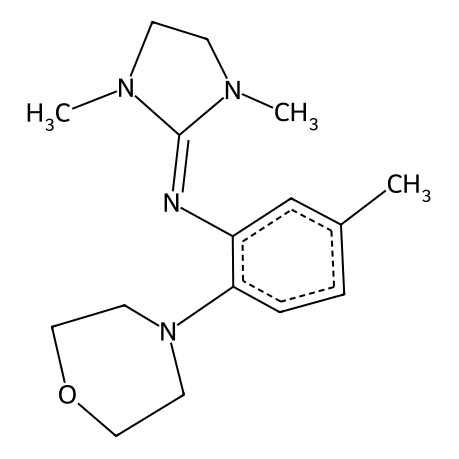 Cc1ccc(N2CCOCC2)c(N=C2N(C)CCN2C)c1